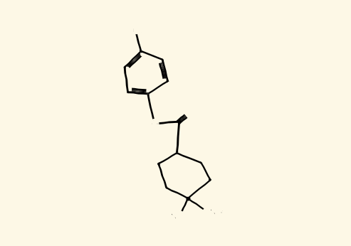 CCCCCCCCCC1(C#N)CCC(C(=O)Oc2ccc(CCCCCCCC)cc2)CC1